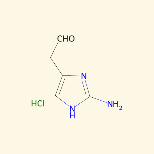 Cl.Nc1nc(CC=O)c[nH]1